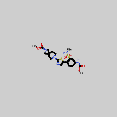 CC(C)OC(=O)Nc1ccc(-c2cnc(N3CCC4(CC3)CN(C(=O)OC(C)C)C4)s2)c(S(=O)(=O)NC(C)(C)C)c1